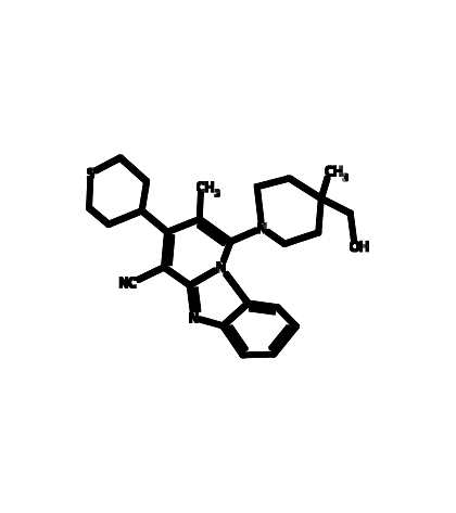 Cc1c(C2CCSCC2)c(C#N)c2nc3ccccc3n2c1N1CCC(C)(CO)CC1